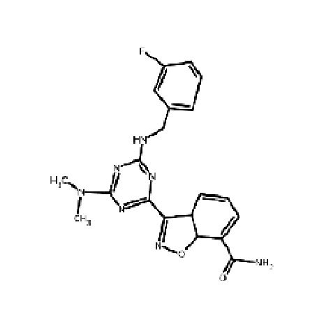 CN(C)c1nc(NCc2cccc(F)c2)nc(C2=NOC3C(C(N)=O)=CC=CC23)n1